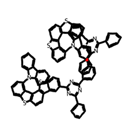 c1ccc(-c2nc(-c3cccc(-c4ccc5c6ccccc6n(-c6cccc7sc8ccc9sc%10ccc(-c%11nc(-c%12ccccc%12)nc(-c%12ccccc%12)n%11)cc%10c9c8c67)c5c4)c3)nc(-c3ccc4sc5c(ccc6sc7cccc(-n8c9ccccc9c9ccccc98)c7c65)c4c3)n2)cc1